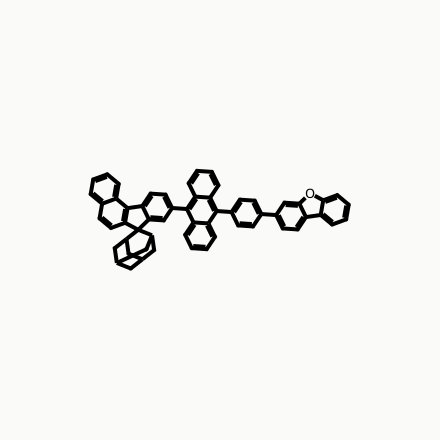 c1ccc2c3c(ccc2c1)C1(c2cc(-c4c5ccccc5c(-c5ccc(-c6ccc7c(c6)oc6ccccc67)cc5)c5ccccc45)ccc2-3)C2CC3CC(C2)CC1C3